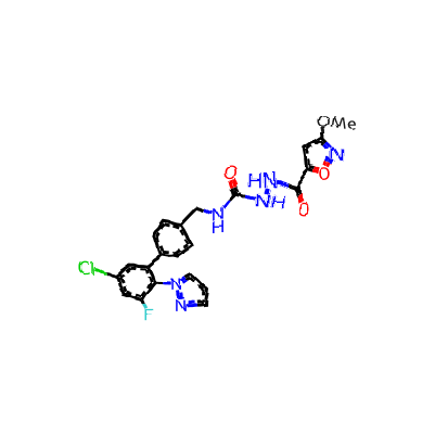 COc1cc(C(=O)NNC(=O)NCc2ccc(-c3cc(Cl)cc(F)c3-n3cccn3)cc2)on1